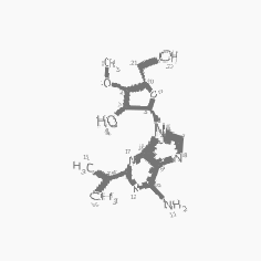 COC1C(O)[C@H](n2cnc3c(N)nc(C(C)C)nc32)O[C@@H]1CO